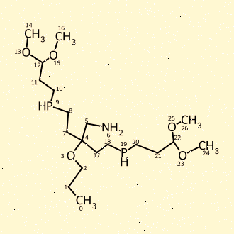 CCCOC(CN)(CCPCCC(OC)OC)CCPCCC(OC)OC